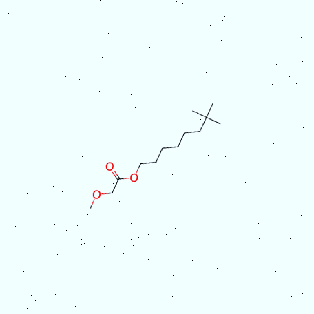 COCC(=O)OCCCCCCC(C)(C)C